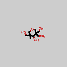 CC1(CO)COCC(CO)(CO)C1O